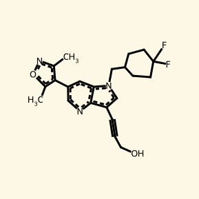 Cc1noc(C)c1-c1cnc2c(C#CCO)cn(CC3CCC(F)(F)CC3)c2c1